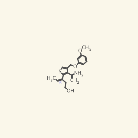 C=C(N)c1c(COc2cccc(OC)c2)csc1/C(=C\C)CCO